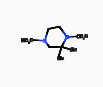 CC(C)(C)C1(C(C)(C)C)CN(C(=O)O)CCN1C(=O)O